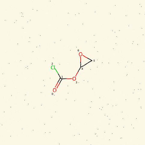 O=C(Cl)OC1CO1